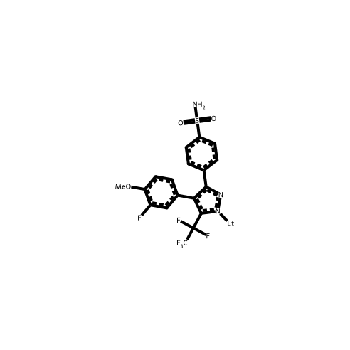 CCn1nc(-c2ccc(S(N)(=O)=O)cc2)c(-c2ccc(OC)c(F)c2)c1C(F)(F)C(F)(F)F